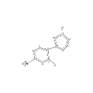 Cc1cc[c]c(-c2ccc([N+](=O)[O-])cc2C)c1